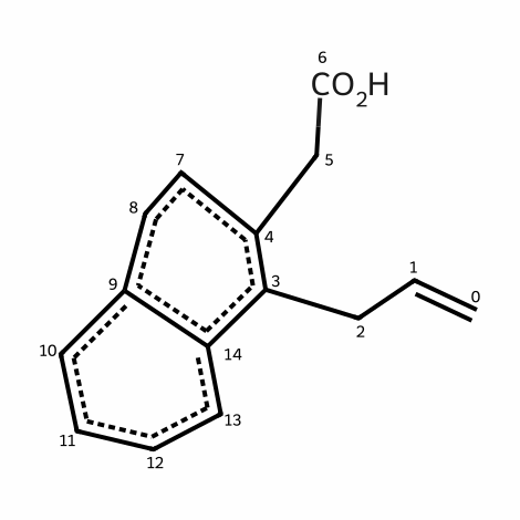 C=CCc1c(CC(=O)O)ccc2ccccc12